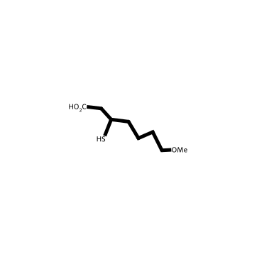 COCCCCC(S)CC(=O)O